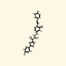 Cc1ccc(C#Cc2ccc(CCNC(=O)c3csc(-c4ccc(C)cc4)n3)cc2F)cc1